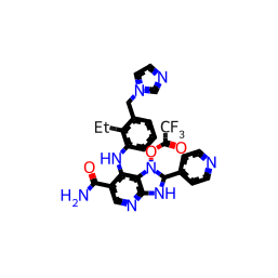 CCc1c(Cn2ccnc2)cccc1Nc1c(C(N)=O)cnc2c1N(OC(=O)C(F)(F)F)C(c1ccncc1)N2